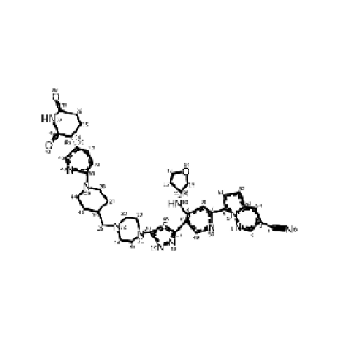 N#Cc1cnn2c(-c3cc(N[C@@H]4CCOC4)c(-c4nnc(N5CCN(CC6CCN(c7ccc([C@H]8CCC(=O)NC8=O)cn7)CC6)CC5)s4)cn3)ccc2c1